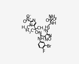 Cn1c(C(C)(C)O/N=C(\Nc2ccc(F)c(Br)c2)c2nonc2NCCNS(N)(=O)=O)cnc1[N+](=O)[O-]